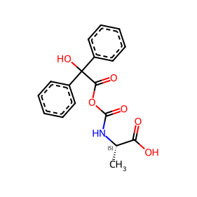 C[C@H](NC(=O)OC(=O)C(O)(c1ccccc1)c1ccccc1)C(=O)O